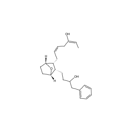 C/C=C(/O)C/C=C\C[C@@H]1[C@H](CCC(O)Cc2ccccc2)[C@@H]2CC[C@H]1O2